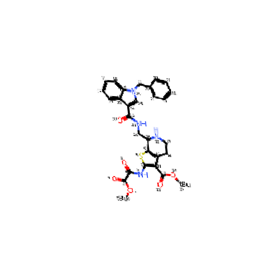 CC(C)(C)OC(=O)C(=O)Nc1sc2c(c1C(=O)OC(C)(C)C)CCNC2CNC(=O)c1cn(Cc2ccccc2)c2ccccc12